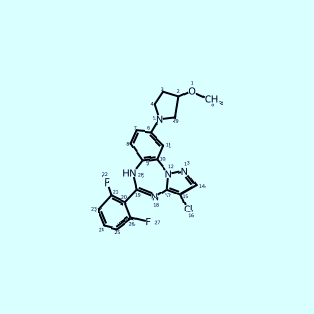 COC1CCN(c2ccc3c(c2)-n2ncc(Cl)c2N=C(c2c(F)cccc2F)N3)C1